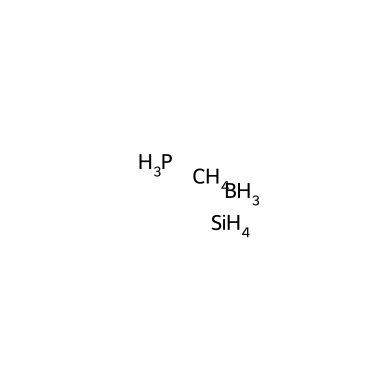 B.C.P.[SiH4]